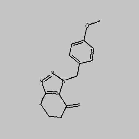 C=C1CC[CH]c2nnn(Cc3ccc(OC)cc3)c21